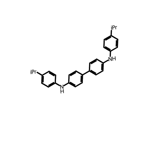 CC(C)c1ccc(Nc2ccc(-c3ccc(Nc4ccc(C(C)C)cc4)cc3)cc2)cc1